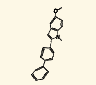 COc1ccc2c(c1)cc(-c1ccc(-c3ccccc3)cc1)n2C